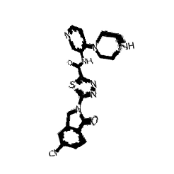 O=C(Nc1cnccc1N1CCNCC1)c1nnc(N2Cc3cc(Cl)ccc3C2=O)s1